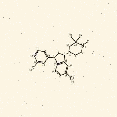 CN1CCN([C@H]2C[C@H](c3cccc(F)c3)c3ccc(Cl)cc32)CC1(C)C